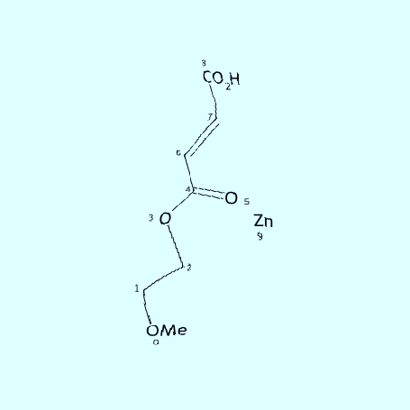 COCCOC(=O)C=CC(=O)O.[Zn]